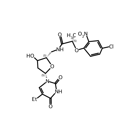 CCc1cn([C@@H]2CC(O)[C@H](CNC(=O)[C@H](C)Oc3ccc(Cl)cc3[N+](=O)[O-])O2)c(=O)[nH]c1=O